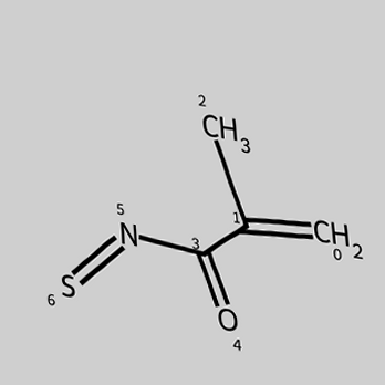 C=C(C)C(=O)N=S